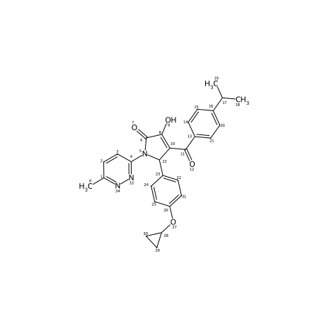 Cc1ccc(N2C(=O)C(O)=C(C(=O)c3ccc(C(C)C)cc3)C2c2ccc(OC3CC3)cc2)nn1